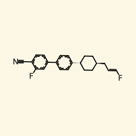 N#Cc1ccc(-c2ccc([C@H]3CC[C@H](C/C=C/F)CC3)cc2)cc1F